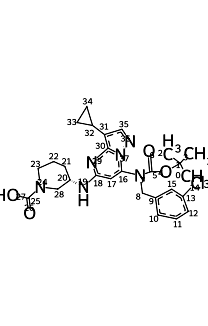 CC(C)(C)OC(=O)N(Cc1cccc(Cl)c1)c1cc(N[C@H]2CCCN(C(=O)O)C2)nc2c(C3CC3)cnn12